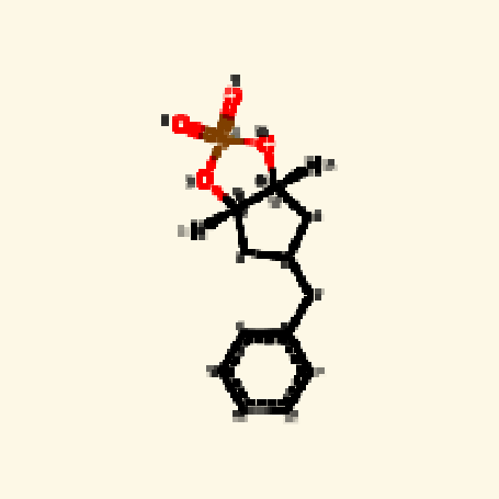 O=S1(=O)O[C@H]2CC(Cc3ccccc3)C[C@H]2O1